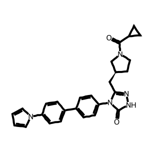 O=C(C1CC1)N1CC[C@@H](Cc2n[nH]c(=O)n2-c2ccc(-c3ccc(-n4cccc4)cc3)cc2)C1